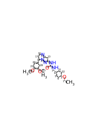 CCOc1ccc(CNC(=O)Nc2cc3nccc(-c4ccc(OC)c(OC)c4)n3n2)cc1